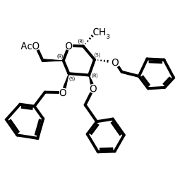 CC(=O)OC[C@H]1O[C@H](C)[C@H](OCc2ccccc2)[C@@H](OCc2ccccc2)[C@H]1OCc1ccccc1